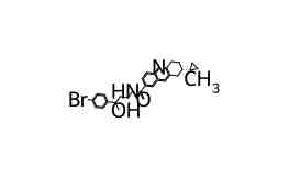 CC1([C@H]2CCc3nc4ccc(C(=O)NCC[C@@H](O)c5ccc(Br)cc5)cc4cc3C2)CC1